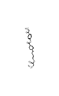 C=CC(=O)OCCCCC1CCC(C(=O)Oc2ccc(C(=O)C=C)cc2)CC1